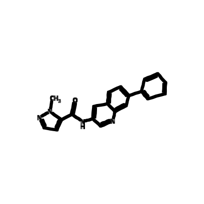 Cn1nccc1C(=O)Nc1cnc2cc(-c3ccccc3)ccc2c1